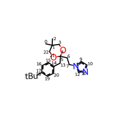 CC1(C)COC(CCn2ccnc2)(Cc2ccc(C(C)(C)C)cc2)OC1